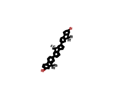 CCC1(CC)c2cc(Br)ccc2-c2ccc(-c3ccc4c(c3)C(C)(C(F)(F)F)c3cc(-c5ccc6c(c5)C(CC)(CC)c5cc(Br)ccc5-6)ccc3-4)cc21